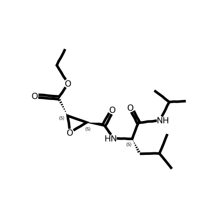 CCOC(=O)[C@H]1O[C@@H]1C(=O)N[C@@H](CC(C)C)C(=O)NC(C)C